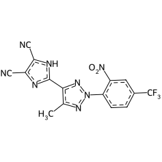 Cc1nn(-c2ccc(C(F)(F)F)cc2[N+](=O)[O-])nc1-c1nc(C#N)c(C#N)[nH]1